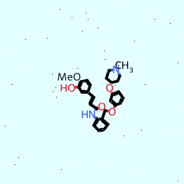 COc1ccc(C=CC(=O)Nc2ccccc2COc2cccc(OC3CCN(C)CC3)c2)cc1O